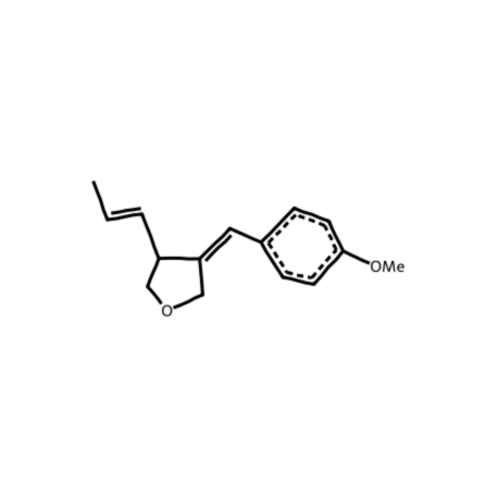 C/C=C/C1COC/C1=C\c1ccc(OC)cc1